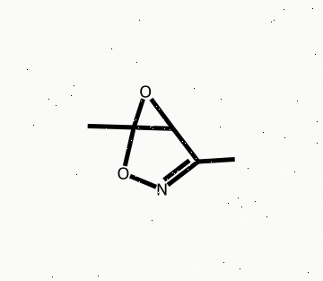 CC1=NOC2(C)OC12